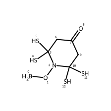 BON1C(S)(S)CC(=O)CC1(S)S